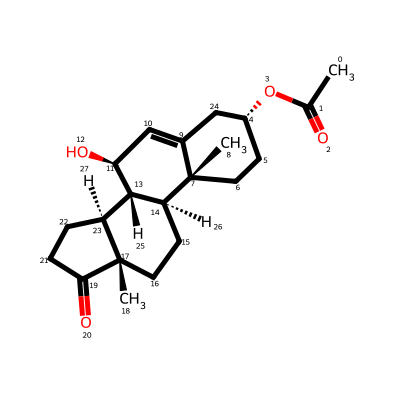 CC(=O)O[C@@H]1CC[C@@]2(C)C(=C[C@H](O)[C@@H]3[C@@H]2CC[C@]2(C)C(=O)CC[C@@H]32)C1